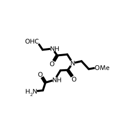 COCCN(CC(=O)NCC=O)C(=O)CNC(=O)CN